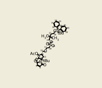 CC(=O)ON1C(=O)[C@](N2C(=O)C=CC2=O)(C(C)(C)C)C[C@H]1COCCS(=O)(=O)OCC(C)(C)CCO[Si](c1ccccc1)(c1ccccc1)C(C)(C)C